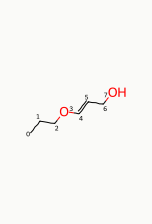 CCCOC=CCO